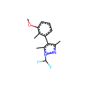 COc1cccc(-c2c(C)nn(C(F)F)c2C)c1C